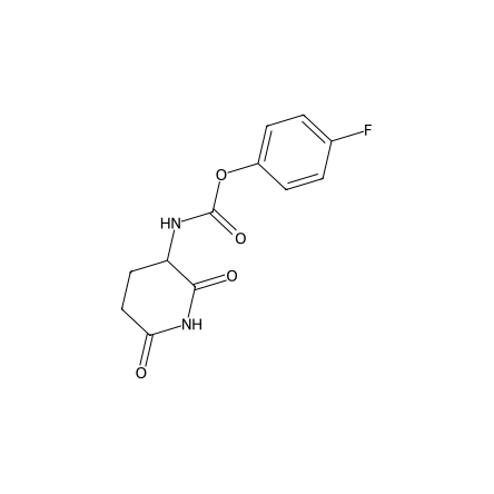 O=C1CCC(NC(=O)Oc2ccc(F)cc2)C(=O)N1